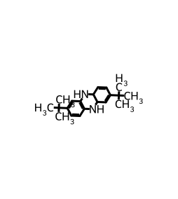 CC(C)(C)C1=CC2Nc3ccc(C(C)(C)C)cc3NC2C=C1